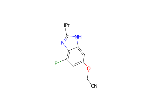 CC(C)c1nc2c(F)cc(OCC#N)cc2[nH]1